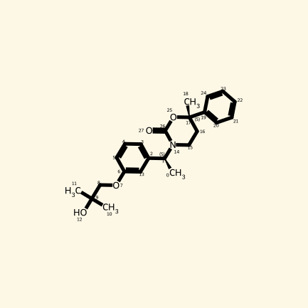 C[C@@H](c1cccc(OCC(C)(C)O)c1)N1CC[C@@](C)(c2ccccc2)OC1=O